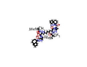 CN[C@@H](C)C(=O)N[C@@H](CCCCCC[C@H](NC(=O)[C@H](C)NC)C(=O)N1CC[C@H]1C(=O)N[C@@H]1CCCc2ccccc21)C(=O)N1CC[C@H]1C(=O)N[C@@H]1CCCc2ccccc21